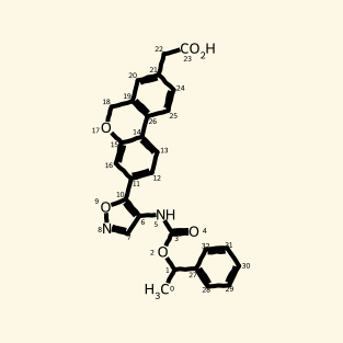 CC(OC(=O)Nc1cnoc1-c1ccc2c(c1)OCc1cc(CC(=O)O)ccc1-2)c1ccccc1